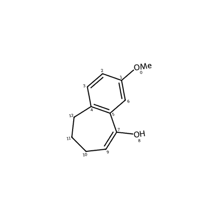 COc1ccc2c(c1)C(O)=CCCC2